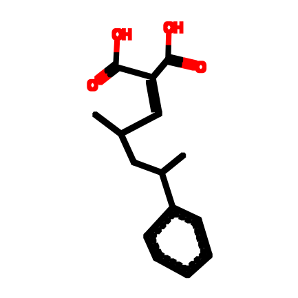 CC(C=C(C(=O)O)C(=O)O)CC(C)c1ccccc1